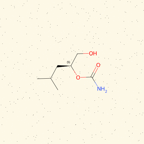 CC(C)C[C@@H](CO)OC(N)=O